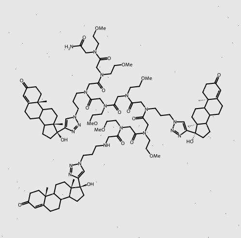 COCCN(CC(N)=O)C(=O)CN(CCOC)C(=O)CN(CCCn1cc([C@]2(O)CCC3C4CCC5=CC(=O)CC[C@]5(C)C4CC[C@@]32C)nn1)C(=O)CN(CCOC)C(=O)CN(CCOC)C(=O)CN(CCCn1cc([C@]2(O)CCC3C4CCC5=CC(=O)CC[C@]5(C)C4CC[C@@]32C)nn1)C(=O)CN(CCOC)C(=O)CN(CCOC)C(=O)CNCCCn1cc([C@]2(O)CCC3C4CCC5=CC(=O)CC[C@]5(C)C4CC[C@@]32C)nn1